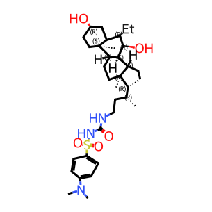 CC[C@@H]1C2C[C@H](O)CC[C@]2(C)[C@H]2CC[C@]3(C)[C@@H]([C@H](C)CCNC(=O)NS(=O)(=O)c4ccc(N(C)C)cc4)CC[C@H]3[C@@H]2[C@@H]1O